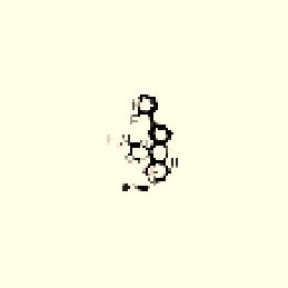 CC(C)CN1CC[C@@H]2Oc3ccc(-c4cccnc4F)cc3[C@@]3(COC(N)=N3)[C@H]2C1